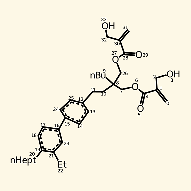 C=C(CO)C(=O)OCC(CCCC)(CCc1ccc(-c2ccc(CCCCCCC)c(CC)c2)cc1)COC(=O)C(=C)CO